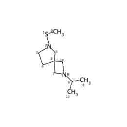 CSN1CCC2(C1)CN(C(C)C)C2